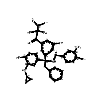 O=C(NC(Cc1ccccc1)(c1cc(F)cc(C(=O)C(F)(F)C(F)F)c1)c1ccc(F)c(OC2CC2)c1)c1ccc(F)c(C(F)(F)F)c1